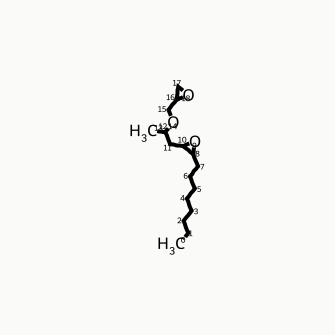 CCCCCCCCC1OC1CC(C)OCC1CO1